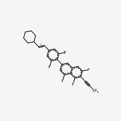 Fc1cc2cc(-c3c(F)cc(/C=C/C4CCCCC4)cc3F)cc(F)c2c(F)c1C#CC(F)(F)F